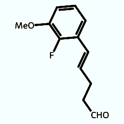 COc1cccc(C=CCCC=O)c1F